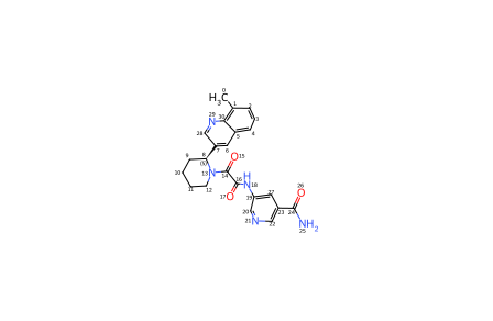 Cc1cccc2cc([C@@H]3CCCCN3C(=O)C(=O)Nc3cncc(C(N)=O)c3)cnc12